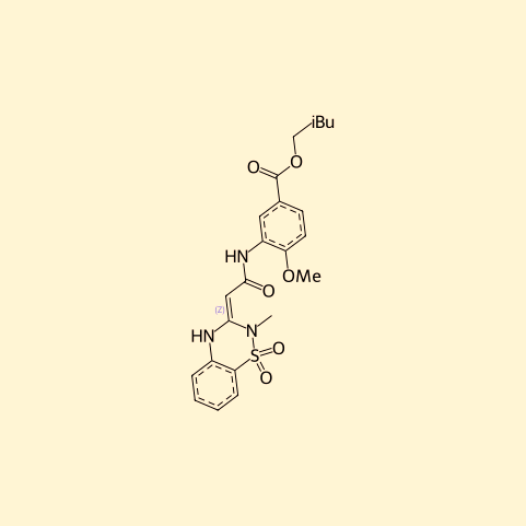 CCC(C)COC(=O)c1ccc(OC)c(NC(=O)/C=C2/Nc3ccccc3S(=O)(=O)N2C)c1